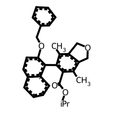 Cc1c2c(c(C)c(-c3c(OCc4ccccc4)ccc4ccccc34)c1C(=O)OC(C)C)COC2